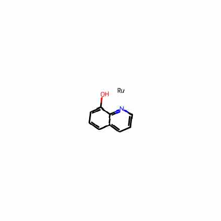 Oc1cccc2cccnc12.[Ru]